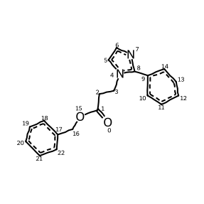 O=C(CCn1ccnc1-c1ccccc1)OCc1ccccc1